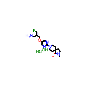 CN1CCC2(CCN(c3ncc(OC/C(=C/F)CN)cn3)CC2)C1=O.Cl.Cl